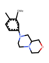 COc1cc(N2CCN3CCOCC3C2)ccc1C